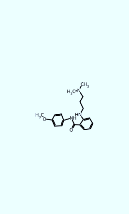 COc1ccc(NC(=O)c2ccccc2NCCCN(C)C)cc1